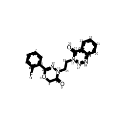 O=C1COC(c2ccccc2F)=NN1CCn1nnc2ccccc2c1=O